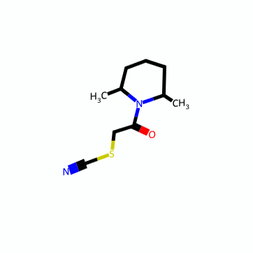 CC1CCCC(C)N1C(=O)CSC#N